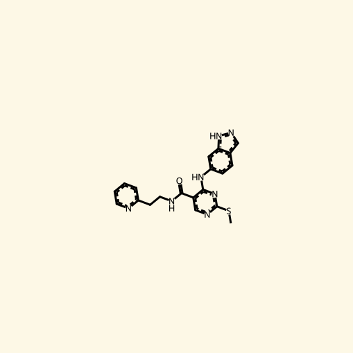 CSc1ncc(C(=O)NCCc2ccccn2)c(Nc2ccc3cn[nH]c3c2)n1